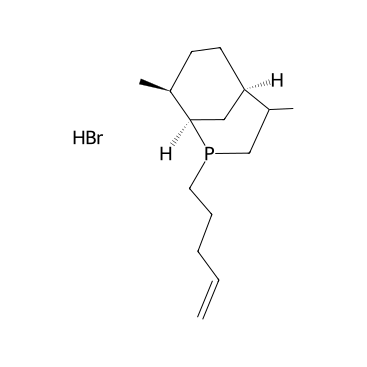 Br.C=CCCCP1CC(C)[C@@H]2CC[C@H](C)[C@H]1C2